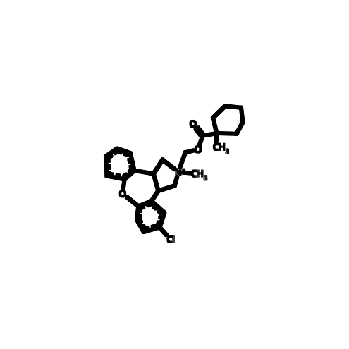 CC1(C(=O)OC[N+]2(C)CC3c4ccccc4Oc4ccc(Cl)cc4C3C2)CCCCC1